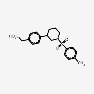 Cc1ccc(S(=O)(=O)N2CCCC(c3ccc(CC(=O)O)cc3)C2)cc1